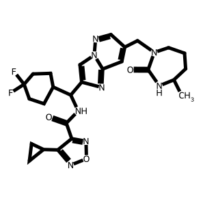 CC1CCCN(Cc2cnn3cc(C(NC(=O)c4nonc4C4CC4)C4CCC(F)(F)CC4)nc3c2)C(=O)N1